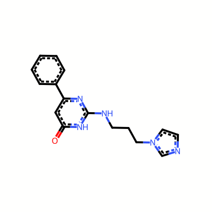 O=c1cc(-c2ccccc2)nc(NCCCn2ccnc2)[nH]1